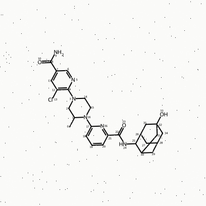 CC1CN(c2ncc(C(N)=O)cc2Cl)CCN1c1cccc(C(=O)NC2C3CC4CC2CC(O)(C4)C3)n1